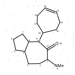 CNC1CCC2CCCC2N(C2CCC=CCC2)C1=O